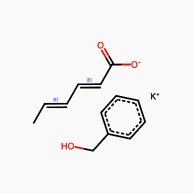 C/C=C/C=C/C(=O)[O-].OCc1ccccc1.[K+]